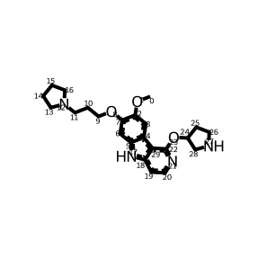 COc1cc2c(cc1OCCCN1CCCC1)[nH]c1ccnc(OC3CCNC3)c12